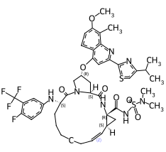 COc1ccc2c(O[C@@H]3C[C@H]4C(=O)N[C@]5(C(=O)NS(=O)(=O)N(C)C)C[C@H]5/C=C\CCCCC[C@H](Nc5ccc(F)c(C(F)(F)F)c5)C(=O)N4C3)cc(-c3nc(C(C)C)cs3)nc2c1C